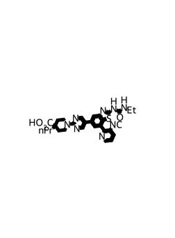 [C-]#[N+]c1cccnc1-c1cc(-c2cnc(N3CCC(CCC)(C(=O)O)CC3)nc2)cc2nc(NC(=O)NCC)sc12